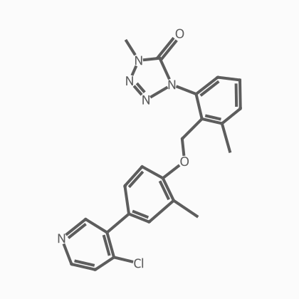 Cc1cc(-c2cnccc2Cl)ccc1OCc1c(C)cccc1-n1nnn(C)c1=O